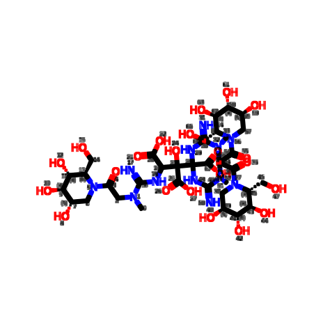 CN(CC(=O)N1C[C@H](O)[C@@H](O)[C@H](O)[C@H]1CO)C(=N)NC(C(=O)O)C(O)(C(=O)O)C(NC(=N)N(C)CC(=O)N1C[C@H](O)[C@@H](O)[C@H](O)[C@H]1CO)(NC(=N)N(C)CC(=O)N1C[C@H](O)[C@@H](O)[C@H](O)[C@H]1CO)C(=O)O